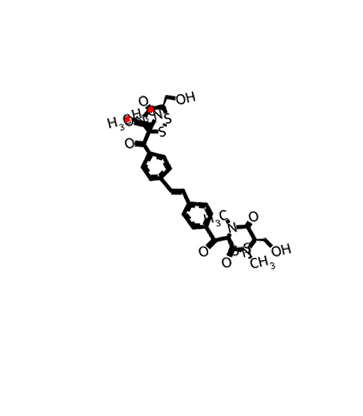 CN1C(=O)[C@]2(CO)SSC1(C(=O)c1ccc(/C=C/c3ccc(C(=O)C45SS[C@@](CO)(C(=O)N4C)N(C)C5=O)cc3)cc1)C(=O)N2C